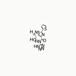 NCCO.O=C(Nc1nnn[nH]1)c1csc(-c2cccs2)n1